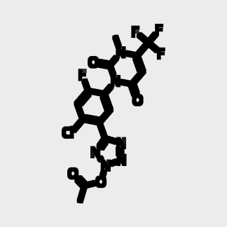 CC(=O)On1nnc(-c2cc(-n3c(=O)cc(C(F)(F)F)n(C)c3=O)c(F)cc2Cl)n1